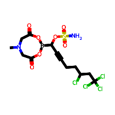 CN1CC(=O)OB(C(C#CCCC(Cl)CC(Cl)(Cl)Cl)OS(N)(=O)=O)OC(=O)C1